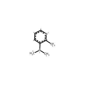 CN(C)c1cccnc1C(F)(F)F